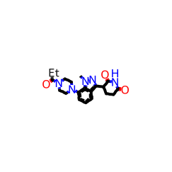 CCC(=O)N1CCN(c2cccc3c(C4CCC(=O)NC4=O)nn(C)c23)CC1